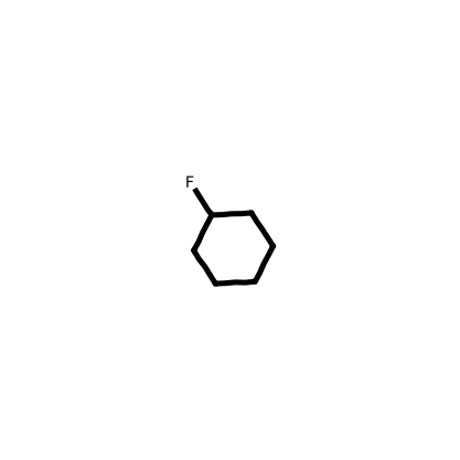 F[C]1CCCCC1